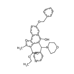 CCOC(=O)c1c(C)oc2c1c(C(c1ccncc1)N1CCOCC1)c(O)c1cc(OCc3ccccc3)ccc12